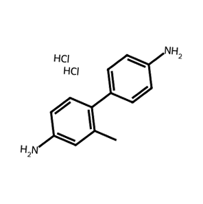 Cc1cc(N)ccc1-c1ccc(N)cc1.Cl.Cl